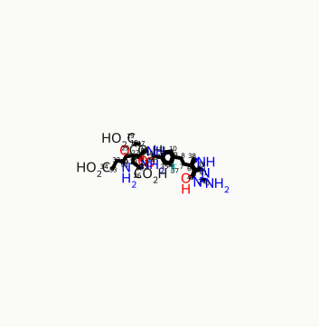 Nc1nc(O)c2c(CCc3ccc(C(=O)N[C@@H](CCC(=O)O)C(=O)C(C[C@H](N)C(=O)O)(C(=O)O)C(=O)[C@@H](N)CCC(=O)O)cc3F)c[nH]c2n1